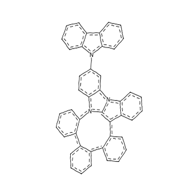 c1ccc2c(c1)c1ccccc1c1c3ccccc3n3c4cc(-n5c6ccccc6c6ccccc65)ccc4n(c4ccccc24)c13